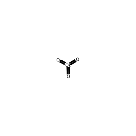 [O]=[Os](=[O])=[O]